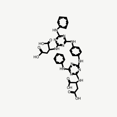 O=C(O)CC(Nc1nc(Nc2ccccc2)nc(Nc2ccc(Nc3nc(Nc4ccccc4)nc(NC(CC(=O)O)C(=O)O)n3)cc2)n1)C(=O)O